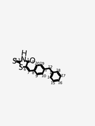 O=C1NC(=S)SC1=Cc1ccc(Cc2ccccc2)cc1